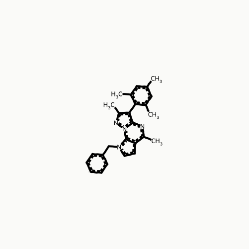 Cc1cc(C)c(-c2c(C)nn3c2nc(C)c2ccn(Cc4cc[c]cc4)c23)c(C)c1